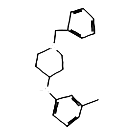 Cc1cccc(NC2CCN(Cc3ccccc3)CC2)c1